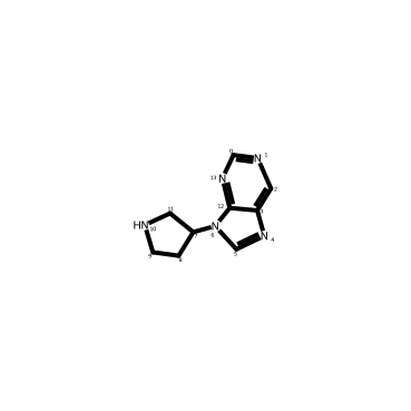 c1ncc2ncn(C3CCNC3)c2n1